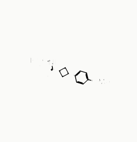 COc1ccc([C@H]2C[C@@H](C(=O)NC(=O)O)C2)cc1